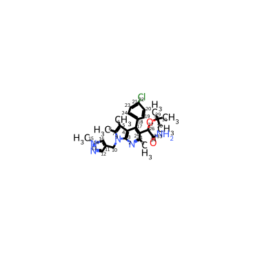 Cc1nc2c(c(C)c(C)n2Cc2cnn(C)c2)c(-c2ccc(Cl)cc2)c1C(OC(C)(C)C)C(N)=O